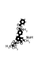 CN1Cc2c(C3CCC(N)(C(=O)OC(=O)C4CCCCC4)CC3)ccc(NC(=O)OC(C)(C)C)c2C1=O.[NaH]